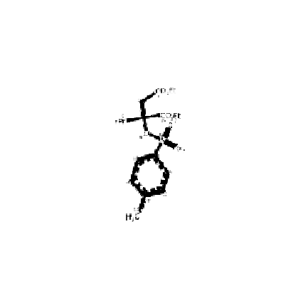 CCCC(CC(=O)OCC)(OS(=O)(=O)c1ccc(C)cc1)C(=O)OCC